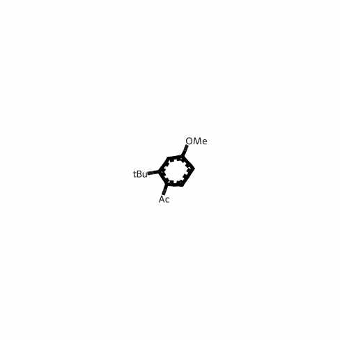 COc1ccc(C(C)=O)c(C(C)(C)C)c1